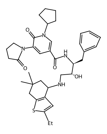 CCc1cc2c(s1)CC(C)(C)CC2NC[C@@H](O)[C@H](Cc1ccccc1)NC(=O)c1cc(N2CCCC2=O)c(=O)n(C2CCCC2)c1